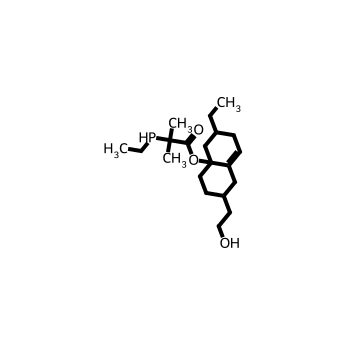 CCPC(C)(C)C(=O)OC12CCC(CCO)CC1=CCC(CC)C2